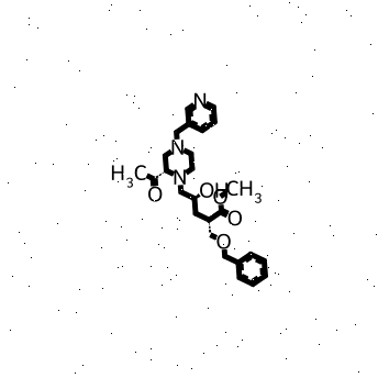 COC(=O)[C@H](COCc1ccccc1)C[C@H](O)CN1CCN(Cc2cccnc2)C[C@H]1C(C)=O